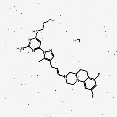 Cc1c(CC=CN2CCN3c4cc(F)cc(F)c4CCC3C2)cnn1-c1cc(NCCO)nc(N)n1.Cl